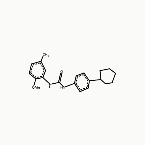 COc1ccc(C)cc1NC(=O)Nc1ccc(C2CCCCC2)cc1